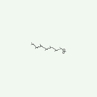 CC(=O)OCCC(C)CCC=C(C)CCC=C(C)CCC=C(C)CCC=C(C)CCC=C(C)CCC=C(C)C